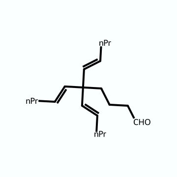 CCCC=CC(C=CCCC)(C=CCCC)CCCC=O